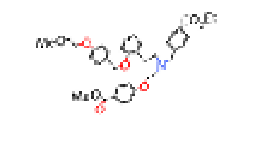 CCOC(=O)c1ccc(CN(CCOc2ccc(C(=O)OC)cc2)CCc2ccccc2OCc2ccc(OCCOC)cc2)cc1